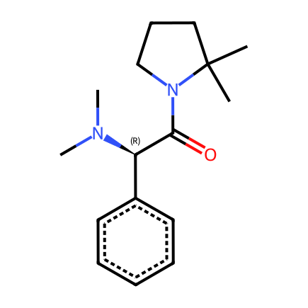 CN(C)[C@@H](C(=O)N1CCCC1(C)C)c1ccccc1